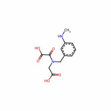 CNc1cccc(CN(CC(=O)O)C(=O)C(=O)O)c1